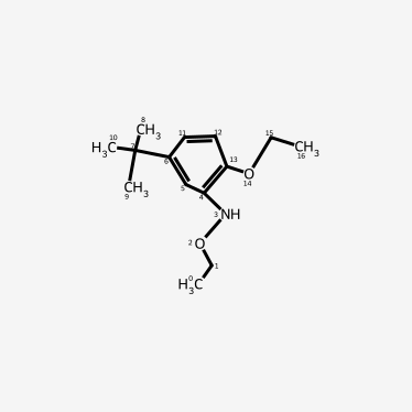 CCONc1cc(C(C)(C)C)ccc1OCC